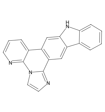 c1ccc2c(c1)[nH]c1cc3c4cccnc4n4ccnc4c3cc12